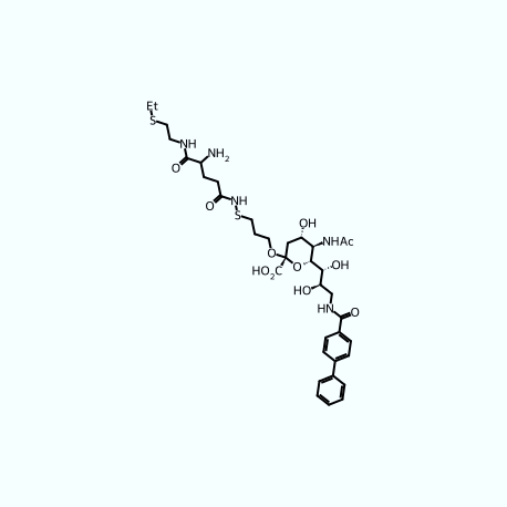 CCSCCNC(=O)C(N)CCC(=O)NSCCCO[C@]1(C(=O)O)C[C@H](O)[C@@H](NC(C)=O)[C@H]([C@H](O)[C@H](O)CNC(=O)c2ccc(-c3ccccc3)cc2)O1